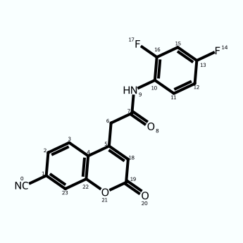 N#Cc1ccc2c(CC(=O)Nc3ccc(F)cc3F)cc(=O)oc2c1